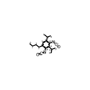 CCCCc1cc(C(C)C)c(N=C=O)c(C(C)C)c1N=C=O